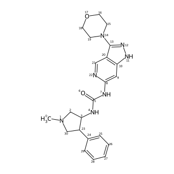 CN1CC(NC(=O)Nc2cc3[nH]nc(N4CCOCC4)c3cn2)C(c2ccccc2)C1